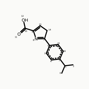 CC(C)c1ccc(C2=NC(C(=O)O)=CC2)cc1